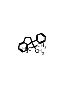 CC(C)(C)C1(c2ccccc2)CCc2c[c]ccc21